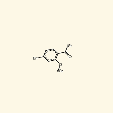 CCCOc1cc(Br)ccc1C(=O)C(C)C